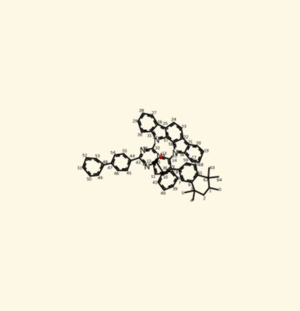 CC1CC(C)(C)c2cc(-c3ccccc3-n3c4ccccc4c4ccc5c6ccccc6n(-c6nc(-c7ccccc7)nc(-c7ccc(-c8ccccc8)cc7)n6)c5c43)ccc2C1(C)C